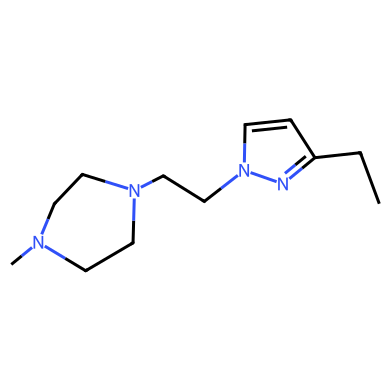 CCc1ccn(CCN2CCN(C)CC2)n1